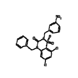 O=C1N(Cc2ccccc2)c2cc(Cl)cc(Cl)c2S(=O)(=O)N1Cc1cccc([N+](=O)[O-])c1